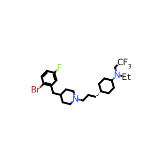 CCN(CC(F)(F)F)[C@H]1CC[C@H](CCCN2CCC(Cc3cc(F)ccc3Br)CC2)CC1